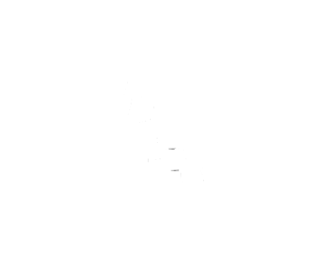 CCCC1CCC(COC2=CC=C(OC)C(F)=CC2F)CC1